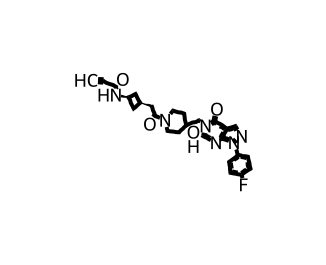 C#CC(=O)N[C@H]1C[C@@H](CC(=O)N2CCC(O)(Cn3cnc4c(cnn4-c4ccc(F)cc4)c3=O)CC2)C1